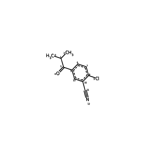 CC(C)C(=O)c1ccc(Cl)c(C#N)c1